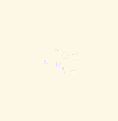 O=C1OCC/C=C/CC/C=C/C(=NOCC(=O)N2CCCC2)Cc2cc(O)cc(O)c21